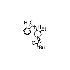 CCC1CN(OC(=O)C(C)(C)C)CCC1N[C@H](C)c1ccccc1